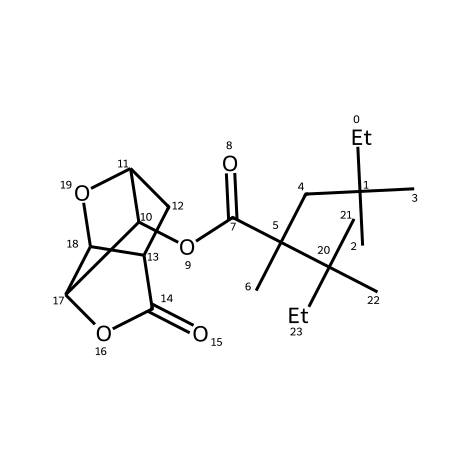 CCC(C)(C)CC(C)(C(=O)OC1C2CC3C(=O)OC1C3O2)C(C)(C)CC